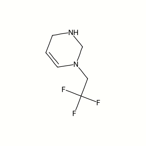 FC(F)(F)CN1C=CCNC1